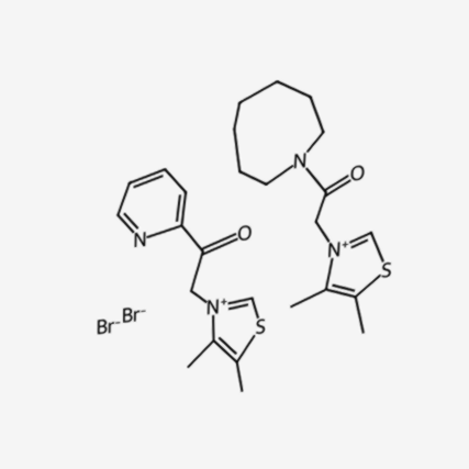 Cc1sc[n+](CC(=O)N2CCCCCCC2)c1C.Cc1sc[n+](CC(=O)c2ccccn2)c1C.[Br-].[Br-]